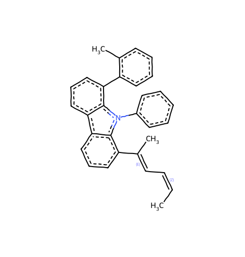 C/C=C\C=C(/C)c1cccc2c3cccc(-c4ccccc4C)c3n(-c3ccccc3)c12